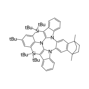 CC(C)(C)c1cc2c3c(c1)[Si](C(C)(C)C)(C(C)(C)C)c1c4ccccc4n4c5cc6c(cc5n5c7ccccc7c(c5n-3c14)[Si]2(C(C)(C)C)C(C)(C)C)C1(C)CCC6(C)CC1